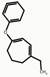 CCC1=CC=C(OC2=CCC=C=C2)CCC1